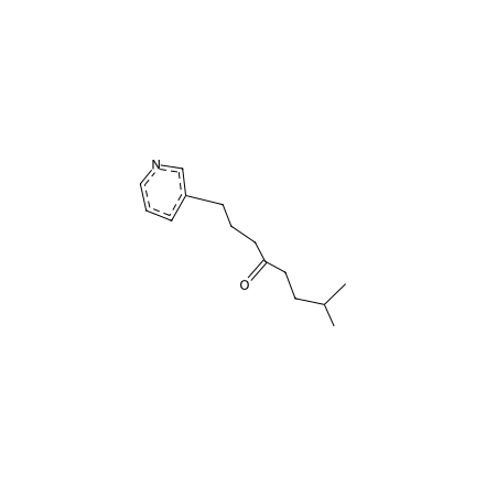 CC(C)CCC(=O)CCCc1cccnc1